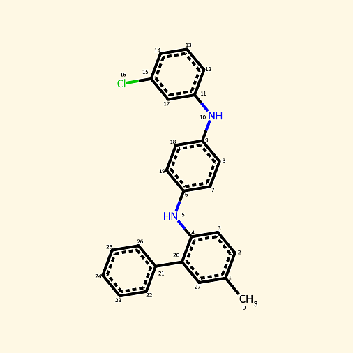 Cc1ccc(Nc2ccc(Nc3cccc(Cl)c3)cc2)c(-c2ccccc2)c1